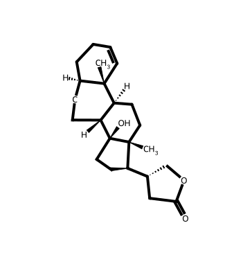 C[C@]12C=CCC[C@@H]1CC[C@@H]1[C@@H]2CC[C@]2(C)[C@@H]([C@@H]3COC(=O)C3)CC[C@]12O